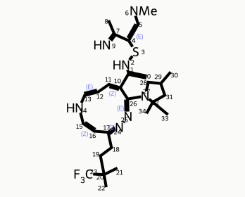 C=C(NS/C(=C/NC)C(C)=N)C1=C/C=C/N/C=C\C(CCC(C)(C)C(F)(F)F)=N/N=C\1N1CC(C)CC1(C)C